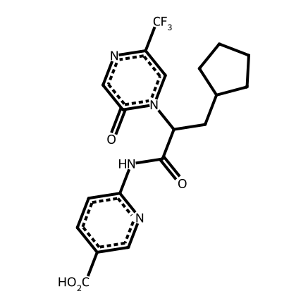 O=C(O)c1ccc(NC(=O)C(CC2CCCC2)n2cc(C(F)(F)F)ncc2=O)nc1